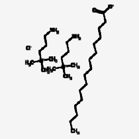 CCCCCCCCCCCCCCCC(=O)[O-].C[N+](C)(C)CCCN.C[N+](C)(C)CCCN.[Cl-]